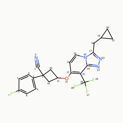 N#CC1(c2ccc(F)cc2)CC(Oc2ccn3c(CC4CC4)nnc3c2C(F)(F)F)C1